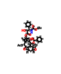 CC(=O)O[C@H]1C(=O)[C@]23C[C@H]2C[C@H]2OC[C@@]2(OC(C)=O)[C@H]3[C@H](OC(=O)c2ccccc2)[C@]2(O)CC(OC(=O)[C@H](O)[C@@H](NC(=O)OC(C)(C)C)c3ccccc3)C(C)=C1C2(C)C